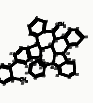 C=C1c2ccccc2N2c3cnc(-c4ccccc4C)nc3N(C)C2C2C1c1ccccc1N1c3ccccc3N(c3ccccc3)C21